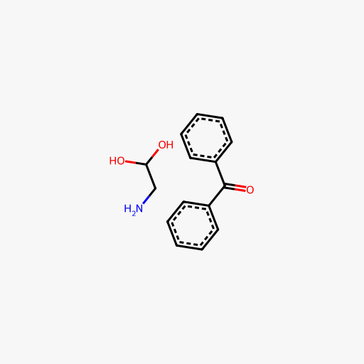 NCC(O)O.O=C(c1ccccc1)c1ccccc1